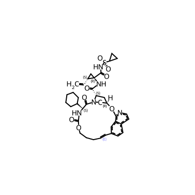 C=C[C@@H]1C[C@]1(NC(=O)[C@@H]1C[C@@H]2CN1C(=O)[C@H](C1CCCCC1)NC(=O)OCCC/C=C/c1ccc3ccnc(c3c1)O2)C(=O)NS(=O)(=O)C1CC1